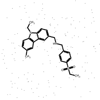 CCn1c2ccc(C)cc2c2cc(CNCc3ccc(S(=O)(=O)CC)cc3)ccc21